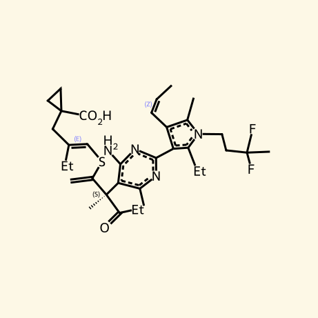 C=C(S/C=C(\CC)CC1(C(=O)O)CC1)[C@](C)(C(=O)CC)c1c(C)nc(-c2c(/C=C\C)c(C)n(CCC(C)(F)F)c2CC)nc1N